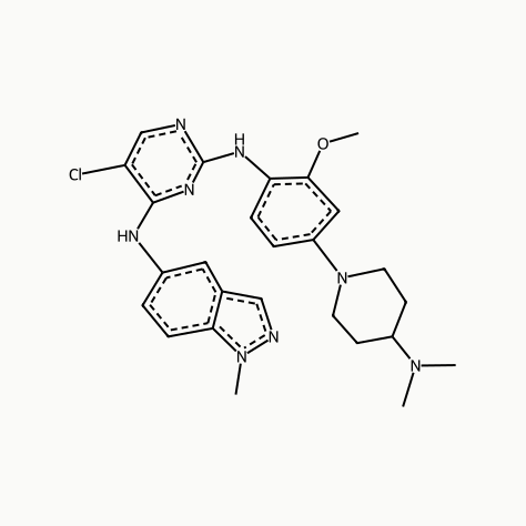 COc1cc(N2CCC(N(C)C)CC2)ccc1Nc1ncc(Cl)c(Nc2ccc3c(cnn3C)c2)n1